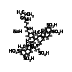 C=C(C)C(=O)NCCCNCc1ccc(C(=C\C=C2/N(CCCS(=O)(=O)O)c3ccc4c(S(=O)(=O)O)cc(S(=O)(=O)O)cc4c3C2(C)C)/C=C/C2N(CCCS(=O)(=O)O)c3ccc4c(S(=O)(=O)O)cc(S(=O)(=O)O)cc4c3C2(C)C)cc1.[NaH]